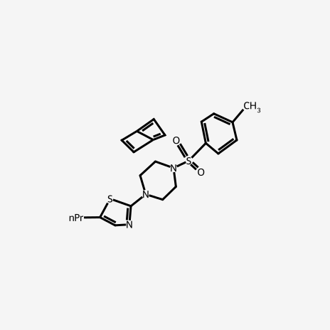 CCCc1cnc(N2CCN(S(=O)(=O)c3ccc(C)cc3)CC2)s1.c1cc2ccc1-2